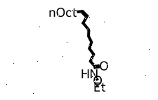 CCCCCCCC/C=C\CCCCCCCC(=O)NOCC